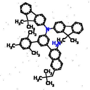 Cc1cc(C)c(-c2cc(-c3cc4cc(CC(C)(C)C)ccc4cc3N)cc(N(c3ccc4c(c3)C(C)(C)c3ccccc3-4)c3ccc4c(c3)C(C)(C)c3ccccc3-4)c2)c(C)c1